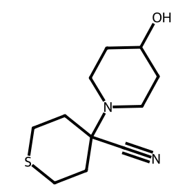 N#CC1(N2CCC(O)CC2)CCSCC1